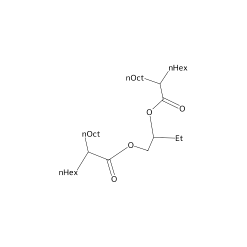 CCCCCCCCC(CCCCCC)C(=O)OCC(CC)OC(=O)C(CCCCCC)CCCCCCCC